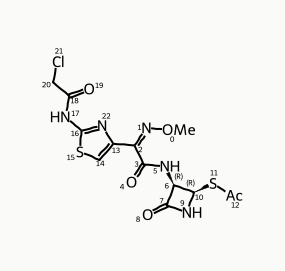 CON=C(C(=O)N[C@@H]1C(=O)N[C@@H]1SC(C)=O)c1csc(NC(=O)CCl)n1